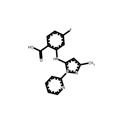 Cc1cc(Nc2cc(F)ccc2C(=O)O)n(-c2ccccn2)n1